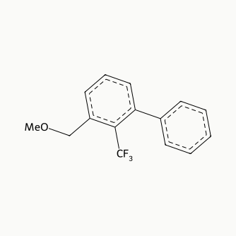 COCc1cccc(-c2ccccc2)c1C(F)(F)F